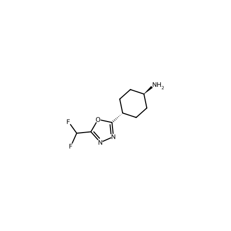 N[C@H]1CC[C@H](c2nnc(C(F)F)o2)CC1